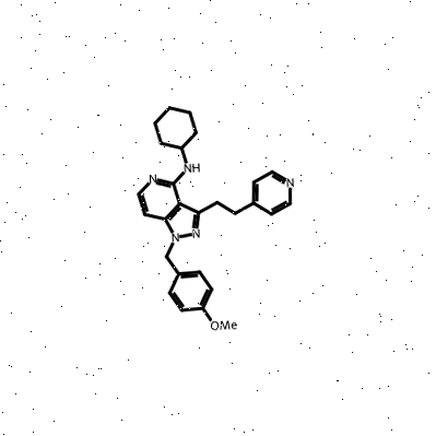 COc1ccc(Cn2nc(CCc3ccncc3)c3c(NC4CCCCC4)nccc32)cc1